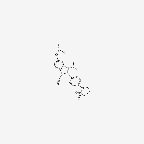 CC(C)N1c2cc(OC(F)F)ccc2C(C#N)C1c1ccc(N2CCCS2(=O)=O)cc1